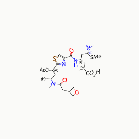 C/N=C(/C[C@@H](C[C@H](C)C(=O)O)NC(=O)c1csc([C@@H](CC(C(C)C)N(C)C(=O)CC2COC2)OC(C)=O)n1)SC